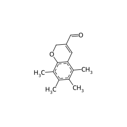 Cc1c(C)c(C)c2c(c1C)C=C(C=O)CO2